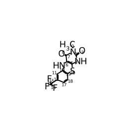 Cn1c(=O)[nH]c2c(c1=O)Nc1cc(C(F)(F)F)ccc1S2